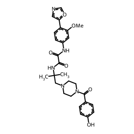 COc1cc(NC(=O)C(=O)NC(C)(C)CN2CCN(C(=O)c3ccc(O)cc3)CC2)ccc1-c1cnco1